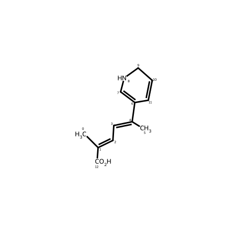 C/C(=C\C=C(/C)C1=CNCC=C1)C(=O)O